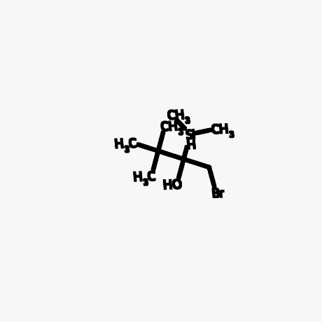 C[SiH](C)C(O)(CBr)C(C)(C)C